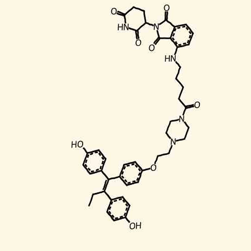 CCC(=C(c1ccc(O)cc1)c1ccc(OCCN2CCN(C(=O)CCCCNc3cccc4c3C(=O)N(C3CCC(=O)NC3=O)C4=O)CC2)cc1)c1ccc(O)cc1